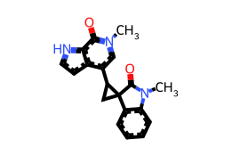 CN1C(=O)C2(CC2c2cn(C)c(=O)c3[nH]ccc23)c2ccccc21